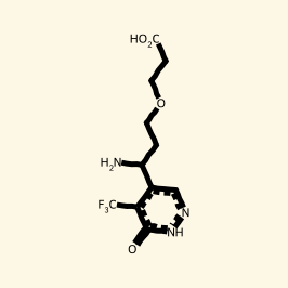 NC(CCOCCC(=O)O)c1cn[nH]c(=O)c1C(F)(F)F